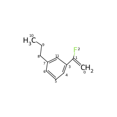 C=C(F)c1cccc(CCC)c1